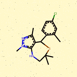 Cc1cc(Cl)ccc1C1SC(C)(C)CNc2c1c(C)nn2C